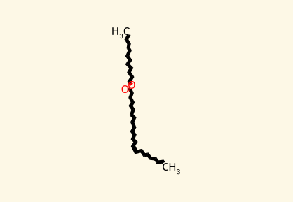 CCCCCCCC/C=C\CCCCCCCCCCCCCC(=O)OCCCCCCCCCCCCC